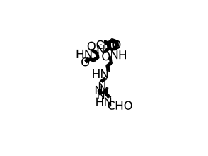 Cc1cccc(NC(=O)CCCNCCn2cc(CNC=O)nn2)c1CN(C=O)C1CCC(=O)NC1=O